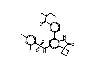 CN1CCc2ccc(-c3cc(NS(=O)(=O)c4ccc(F)cc4F)cc4c3NC(=O)C43CCC3)cc2C1=O